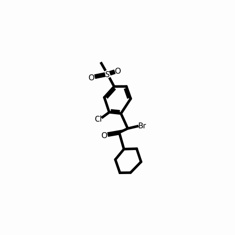 CS(=O)(=O)c1ccc(C(Br)C(=O)C2CCCCC2)c(Cl)c1